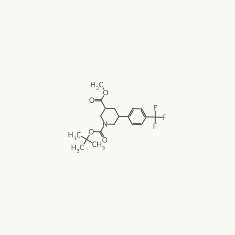 COC(=O)C1CC(c2ccc(C(F)(F)F)cc2)CN(C(=O)OC(C)(C)C)C1